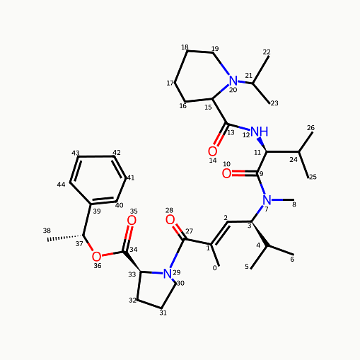 C/C(=C\[C@H](C(C)C)N(C)C(=O)[C@@H](NC(=O)C1CCCCN1C(C)C)C(C)C)C(=O)N1CCC[C@H]1C(=O)O[C@H](C)c1ccccc1